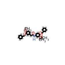 CCOC1(OCc2ccccc2)C=CC(NC(=O)Cc2ccc(OC)c(OCc3ccccc3)c2)=CC1OC